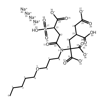 CCCCCOCCCN(C(=O)CC(C(=O)[O-])S(=O)(=O)O)C(CC(CC(=O)[O-])C(=O)O)(C(=O)[O-])C(=O)[O-].[Na+].[Na+].[Na+].[Na+]